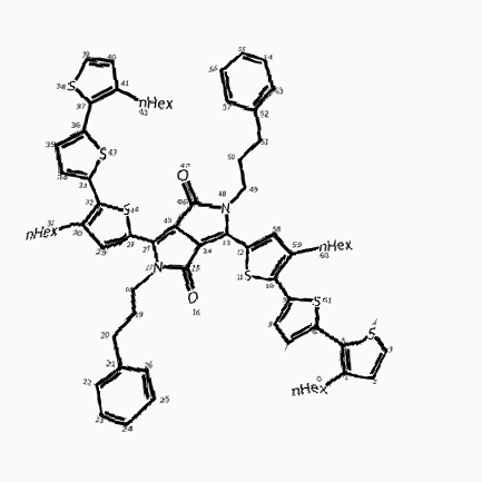 CCCCCCc1ccsc1-c1ccc(-c2sc(C3=C4C(=O)N(CCCc5ccccc5)C(c5cc(CCCCCC)c(-c6ccc(-c7sccc7CCCCCC)s6)s5)=C4C(=O)N3CCCc3ccccc3)cc2CCCCCC)s1